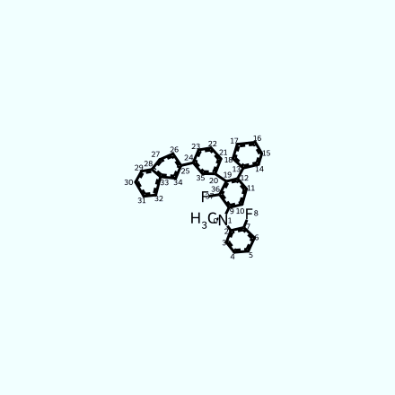 CN(c1ccccc1F)c1ccc(-c2ccccc2)c(-c2cccc(-c3ccc4ccccc4c3)c2)c1F